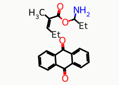 CCC=C(C)C(=O)OC(N)CC.O=C1c2ccccc2C(=O)c2ccccc21